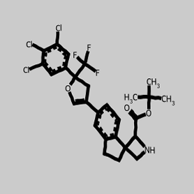 CC(C)(C)OC(=O)C1NCC12CCc1cc(C3=COC(c4cc(Cl)c(Cl)c(Cl)c4)(C(F)(F)F)C3)ccc12